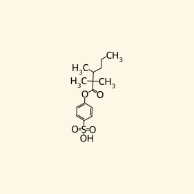 CCCC(C)C(C)(C)C(=O)Oc1ccc(S(=O)(=O)O)cc1